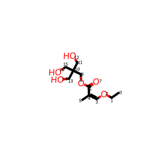 CCOC=C(C)C(=O)OCC(CO)(CO)CO